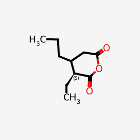 CCCC1CC(=O)OC(=O)[C@H]1CC